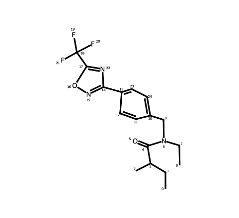 CCC(C)C(=O)N(CC)Cc1ccc(-c2noc(C(F)(F)F)n2)cc1